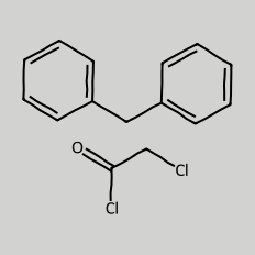 O=C(Cl)CCl.c1ccc(Cc2ccccc2)cc1